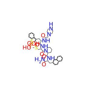 NC(=O)C(Cc1ccc2ccccc2c1)NC(=O)C1CCCCN1C(=O)C(CSCP(=O)(O)O)NC(=O)C(Cc1csc2ccccc12)NC(=O)CN1CCNCC1